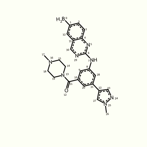 Bc1ccc2nc(Nc3cc(C(=O)N4CCN(C)CC4)cc(-c4cnn(C)c4)c3)ncc2c1